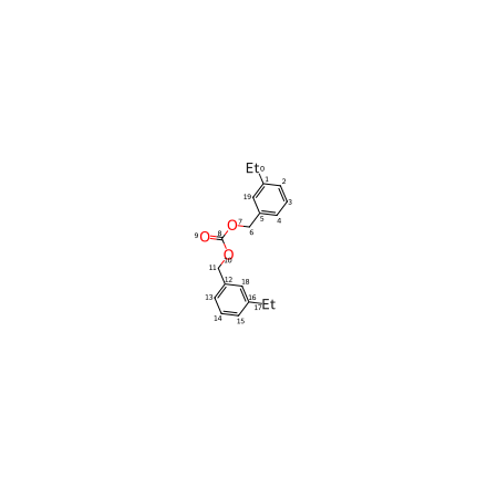 CCc1cccc(COC(=O)OCc2cccc(CC)c2)c1